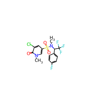 CN([C@H](c1ccc(F)cc1)C(F)(F)F)S(=O)(=O)c1cc(Cl)c(=O)n(C)c1